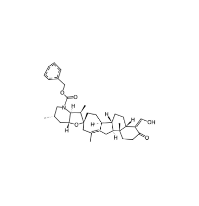 CC1=C2C[C@H]3[C@@H](CC[C@@H]4/C(=C/O)C(=O)CC[C@@]43C)[C@@H]2CC[C@@]2(C1)O[C@@H]1C[C@H](C)CN(C(=O)OCc3ccccc3)[C@H]1[C@H]2C